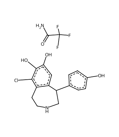 NC(=O)C(F)(F)F.Oc1ccc(C2CNCCc3c2cc(O)c(O)c3Cl)cc1